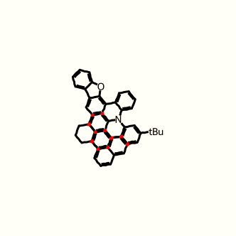 CC(C)(C)c1ccc(-c2ccccc2)c(N(c2ccccc2-c2cccc3c2oc2ccccc23)c2ccccc2-c2cccc3cccc(C4CCCCC4)c23)c1